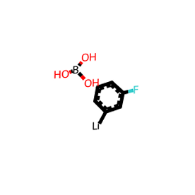 OB(O)O.[Li][c]1cccc(F)c1